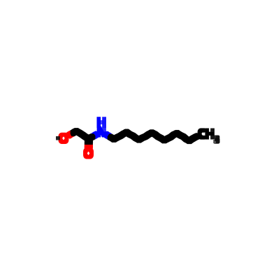 CCCCCCCCNC(=O)C[O]